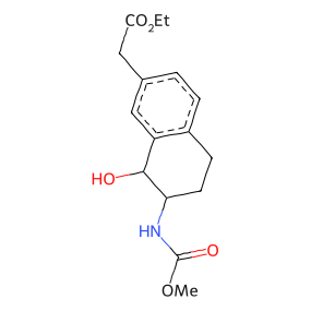 CCOC(=O)Cc1ccc2c(c1)C(O)C(NC(=O)OC)CC2